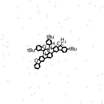 CC(C)(C)c1ccc(N2B3c4oc5ccc(C(C)(C)C)cc5c4-n4c5cc6oc7ccccc7c6cc5c5ccc(c3c54)-c3cc4c(cc32)C(C)(C)c2cc(C(C)(C)C)ccc2-4)cc1